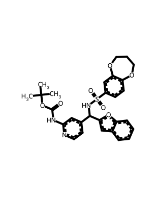 CC(C)(C)OC(=O)Nc1cc(C(NS(=O)(=O)c2ccc3c(c2)OCCCO3)c2cc3ccccc3o2)ccn1